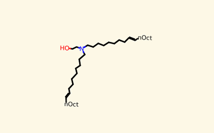 CCCCCCCCC=CCCCCCCCCN(CCO)CCCCCCCCC=CCCCCCCCC